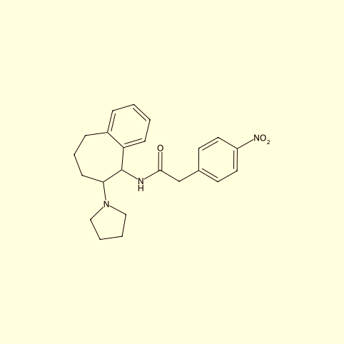 O=C(Cc1ccc([N+](=O)[O-])cc1)NC1c2ccccc2CCCC1N1CCCC1